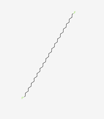 FCCCCCCCCCCCCCCCCCCCCCCCCCCCCCCCCCCF